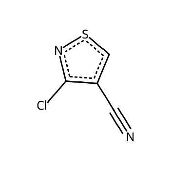 N#Cc1csnc1Cl